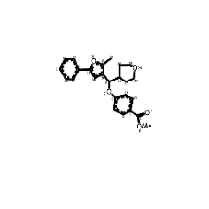 COC(=O)c1ccc(OC(c2cc(-c3ccccc3)oc2C)C2CCOCC2)cc1